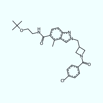 Cc1c(C(=O)NCCOC(C)(C)C)ccc2nn(CC3CN(C(=O)c4ccc(Cl)cc4)C3)cc12